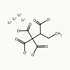 CCC(C(=O)[O-])C(C(=O)[O-])(C(=O)[O-])C(=O)[O-].[Li+].[Li+].[Li+].[Li+]